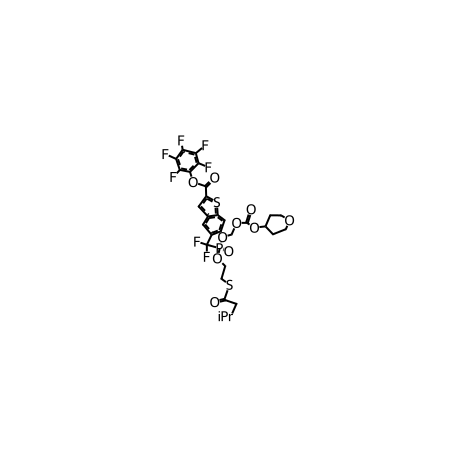 CC(C)CC(=O)SCCOP(=O)(OCOC(=O)OC1CCOCC1)C(F)(F)c1ccc2sc(C(=O)Oc3c(F)c(F)c(F)c(F)c3F)cc2c1